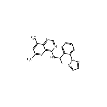 CC(Nc1ncnc2c(C(F)(F)F)cc(C(F)(F)F)cc12)c1nccnc1-n1nccn1